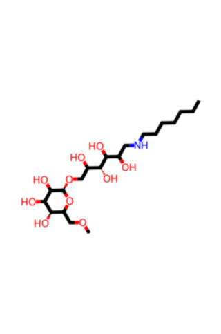 CCCCCCCNCC(O)C(O)[C@H](O)C(O)CO[C@H]1OC(COC)[C@@H](O)C(O)C1O